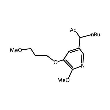 CCCCC(C(C)=O)c1cnc(OC)c(OCCCOC)c1